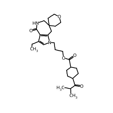 CCc1cn(CCCOC(=O)C2CCC(C(=O)C(C)C)CC2)c2c1C(=O)NCC1(CCOCC1)C2